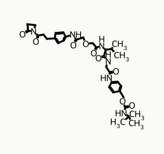 CC(C)C(NC(=O)COCC(=O)Nc1ccc(CCC(=O)N2CCC2=O)cc1)C(=O)NCC(=O)Nc1ccc(COC(=O)NC(C)(C)C)cc1